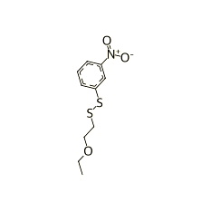 CCOCCSSc1cccc([N+](=O)[O-])c1